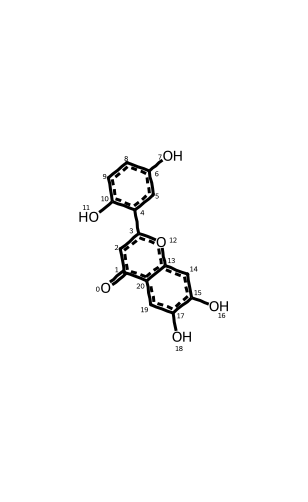 O=c1cc(-c2cc(O)ccc2O)oc2cc(O)c(O)cc12